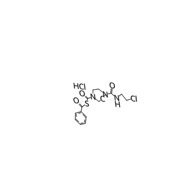 Cl.O=C(SC(=O)N1CCN(C(=O)NCCCl)CC1)c1ccccc1